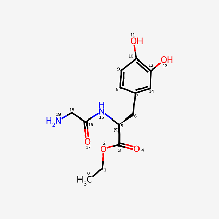 CCOC(=O)[C@H](Cc1ccc(O)c(O)c1)NC(=O)CN